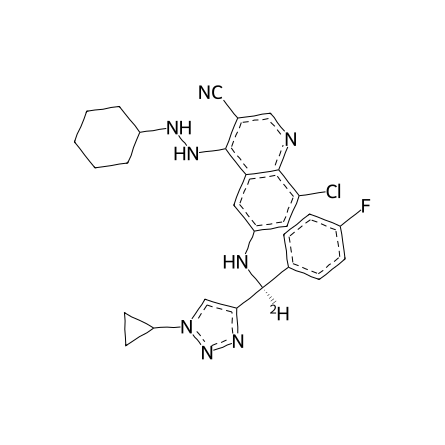 [2H][C@](Nc1cc(Cl)c2ncc(C#N)c(NNC3CCCCC3)c2c1)(c1ccc(F)cc1)c1cn(C2CC2)nn1